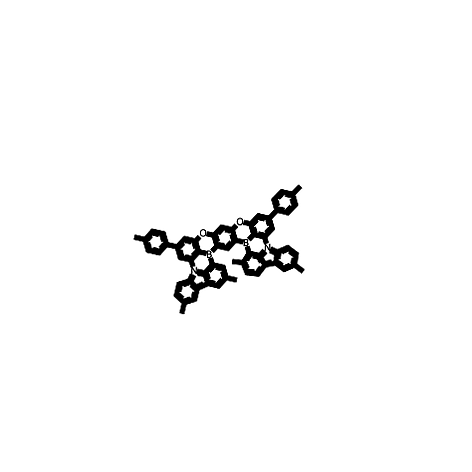 Cc1ccc(-c2cc3c4c(c2)-n2c5ccc(C)cc5c5cc(C)cc(c52)B4c2cc4c(cc2O3)Oc2cc(-c3ccc(C)cc3)cc3c2B4c2c(C)ccc4c5cc(C)ccc5n-3c24)cc1